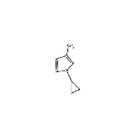 [CH2]c1cnn(C2CC2)c1